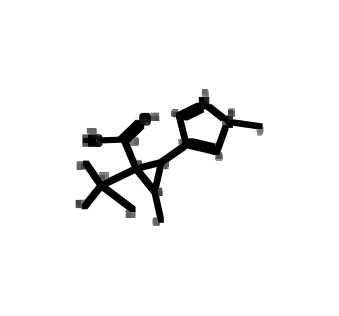 CC1C(c2cnn(C)c2)C1(C(=O)O)C(C)(C)C